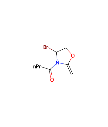 C=C1OCC(Br)N1C(=O)CCC